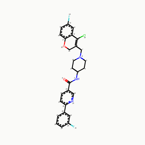 O=C(NC1CCN(CC2=C(Cl)c3cc(F)ccc3OC2)CC1)c1ccc(-c2cccc(F)c2)nc1